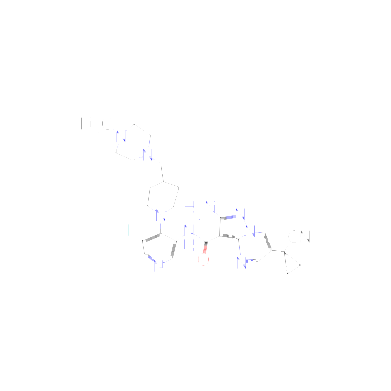 CN1CCN(CC2CCN(c3c(F)cncc3NC(=O)c3c(N)nn4cc(C5(C#N)CC5)cnc34)CC2)CC1